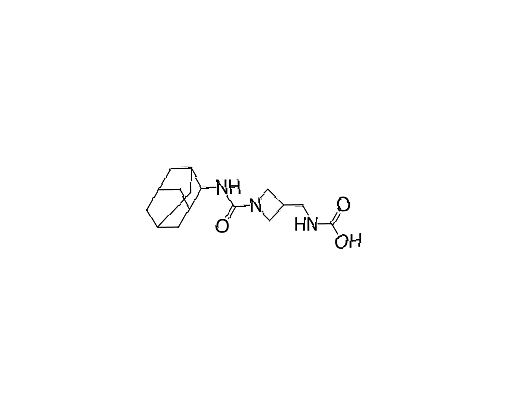 O=C(O)NCC1CN(C(=O)NC2C3CC4CC(C3)CC2C4)C1